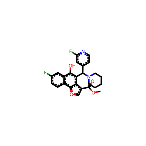 COC(=O)c1coc2c1c(C(c1ccnc(F)c1)N1CCCCC1)c(O)c1cc(F)ccc12